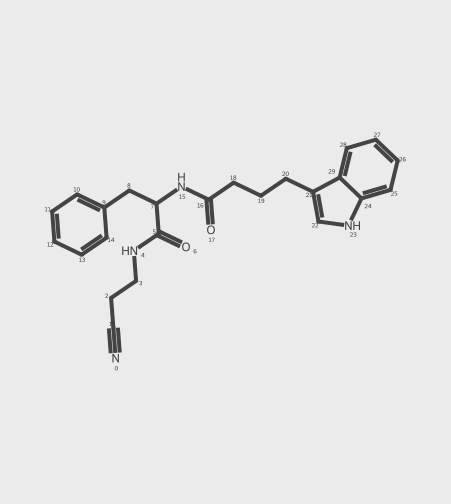 N#CCCNC(=O)C(Cc1ccccc1)NC(=O)CCCc1c[nH]c2ccccc12